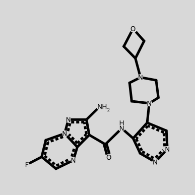 Nc1nn2cc(F)cnc2c1C(=O)Nc1cnncc1N1CCN(C2COC2)CC1